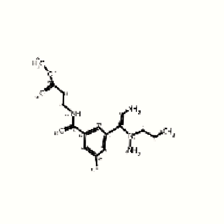 CCCN(N)/C(=C\N)c1cc(F)cc(C(=O)NCCC(=O)OC)c1